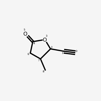 C#CC1OC(=O)CC1C